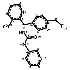 CCCc1cccnc1[C@@H](NC(=O)Nc1cccnc1)c1ccc(CF)cc1